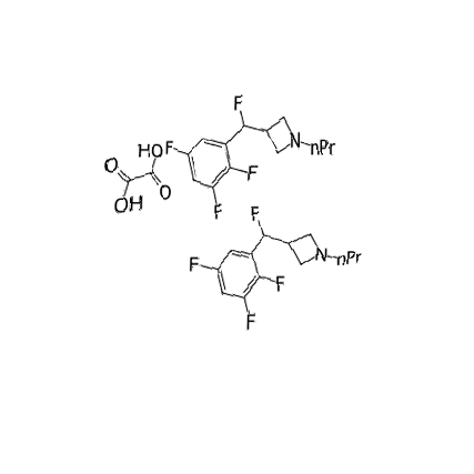 CCCN1CC(C(F)c2cc(F)cc(F)c2F)C1.CCCN1CC(C(F)c2cc(F)cc(F)c2F)C1.O=C(O)C(=O)O